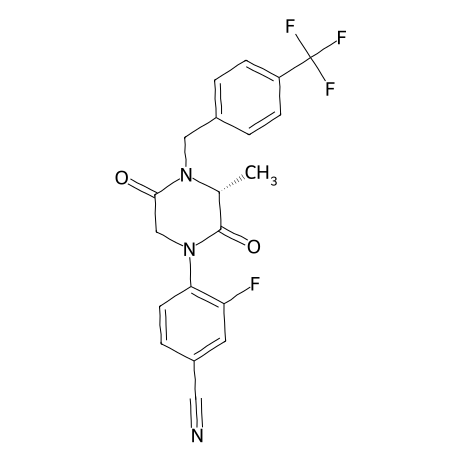 C[C@@H]1C(=O)N(c2ccc(C#N)cc2F)CC(=O)N1Cc1ccc(C(F)(F)F)cc1